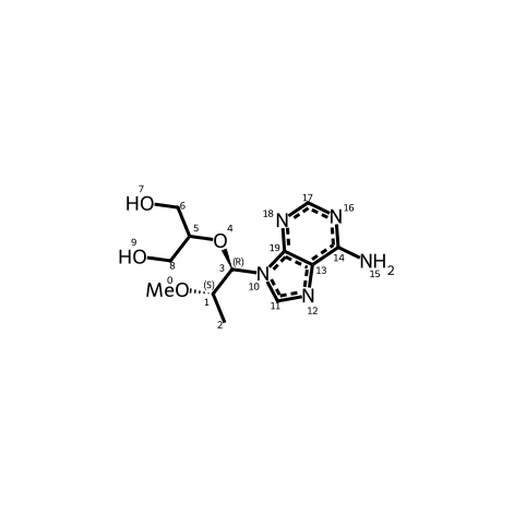 CO[C@@H](C)[C@@H](OC(CO)CO)n1cnc2c(N)ncnc21